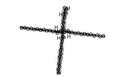 COCCOCCOCCOCCOCCOCCOCCOCCOCCOCCOCCNC(=O)CCOCC(COCCC(=O)NCCOCCOCCOCCOCCOCCOCCOCCOCCOCCOCCOC)(COCCC(=O)NCCOCCOCCOCCOCCOCCOCCOCCOCCOCCOCCOC)NC(=O)CCOCCOCCOCCOCCNC(=O)CCCC(=O)O